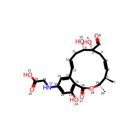 C[C@@H]1/C=C\C[C@](O)(C=O)[C@@H](O)C/C=C/c2cc(NCC(=O)O)cc(O)c2C(=O)O[C@H]1C